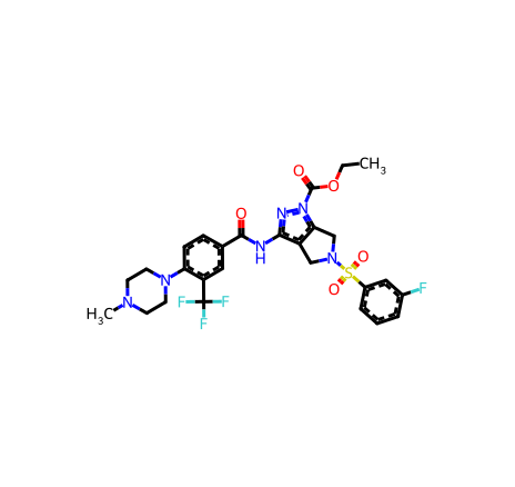 CCOC(=O)n1nc(NC(=O)c2ccc(N3CCN(C)CC3)c(C(F)(F)F)c2)c2c1CN(S(=O)(=O)c1cccc(F)c1)C2